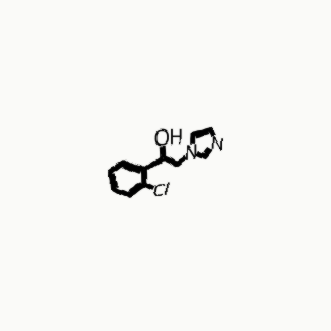 OC(Cn1ccnc1)c1ccccc1Cl